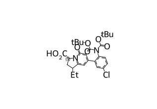 CCC1C[C@@H](C(=O)O)n2c1cc(-c1cc(Cl)ccc1N(C(=O)OC(C)(C)C)C(=O)OC(C)(C)C)cc2=O